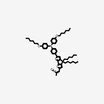 [C-]#[N+]/C(C)=C\c1cc2c(s1)-c1sc(-c3ccc(N(c4ccc(OCCCCCC)cc4)c4ccc(OCCCCCC)cc4)cc3)cc1C2(CCCCCC)CCCCCC